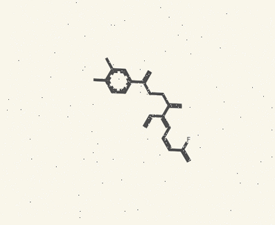 C=C/C(=C\C=C/C(=C)F)C(=C)CCC(=C)c1ccc(C)c(C)c1